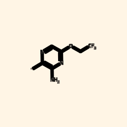 [CH2]c1ncc(OCC(F)(F)F)nc1N